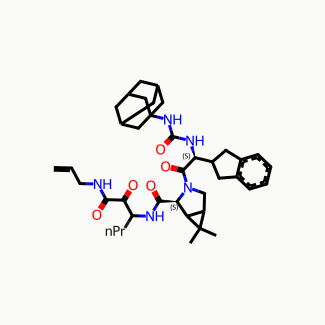 C=CCNC(=O)C(=O)C(CCC)NC(=O)[C@@H]1C2C(CN1C(=O)[C@@H](NC(=O)NC13CC4CC(CC(C4)C1)C3)C1Cc3ccccc3C1)C2(C)C